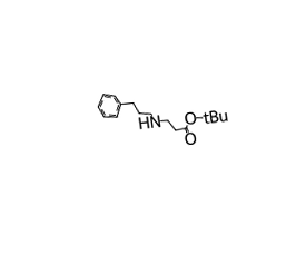 CC(C)(C)OC(=O)CCNCCCc1ccccc1